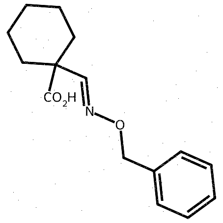 O=C(O)C1(C=NOCc2ccccc2)CCCCC1